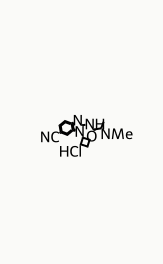 CNC(C)C(=O)Nc1nc2ccc(C#N)cc2n1C1CCC1.Cl